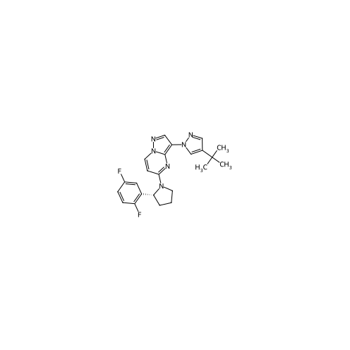 CC(C)(C)c1cnn(-c2cnn3ccc(N4CCC[C@@H]4c4cc(F)ccc4F)nc23)c1